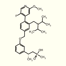 COc1cc(-c2ccc(COc3cccc([C@@H](C)CP(C)(=O)O)c3)cc2CN(C(C)C)C(C)C)c(F)cn1